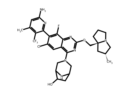 Cc1cc(N)nc(-c2c(Cl)cc3c(N4CC5CC(O)C(C4)N5)nc(OC[C@@]45CCCN4C[C@H](C)C5)nc3c2F)c1C(F)(F)F